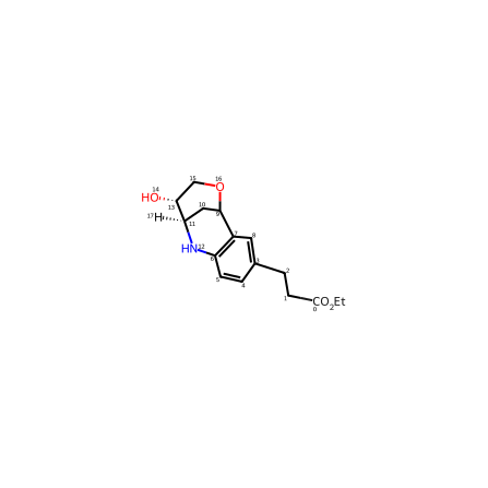 CCOC(=O)CCc1ccc2c(c1)C1C[C@@H](N2)[C@H](O)CO1